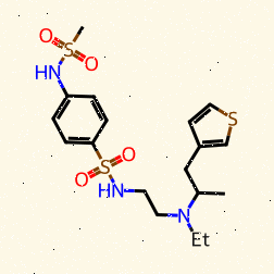 CCN(CCNS(=O)(=O)c1ccc(NS(C)(=O)=O)cc1)C(C)Cc1ccsc1